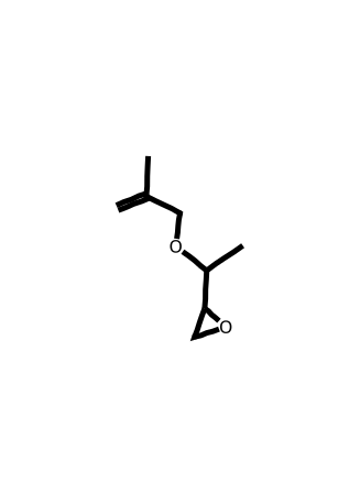 C=C(C)COC(C)C1CO1